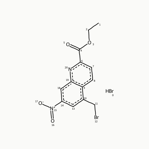 Br.CCOC(=O)c1ccc2c(CBr)cc([N+](=O)[O-])cc2n1